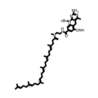 C=C(CC/C(C)=C/CC/C(C)=C/CC/C(C)=C/CC/C=C(\C)CC/C=C(\C)CCC=C(C)C)N(C)CCNC(=O)c1ccc(Cc2c(C)nc(N)nc2NCCCC)c(OC)c1